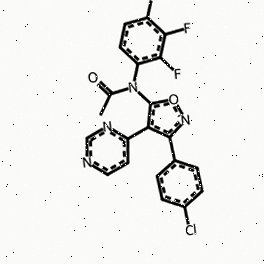 CC(=O)N(c1ccc(F)c(F)c1F)c1onc(-c2ccc(Cl)cc2)c1-c1ccncn1